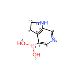 OB(O)c1cncc2c1CCN2